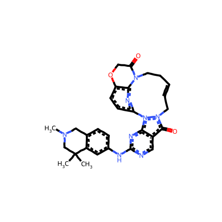 CN1Cc2ccc(Nc3ncc4c(=O)n5n(c4n3)-c3ccc4c(n3)N(CC/C=C/C5)C(=O)CO4)cc2C(C)(C)C1